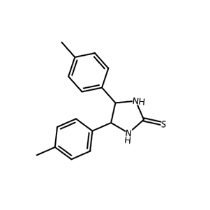 Cc1ccc(C2NC(=S)NC2c2ccc(C)cc2)cc1